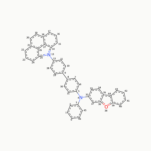 c1ccc(N(c2ccc(-c3ccc(-n4c5cccc6ccc7cccc4c7c65)cc3)cc2)c2ccc3c(c2)oc2ccccc23)cc1